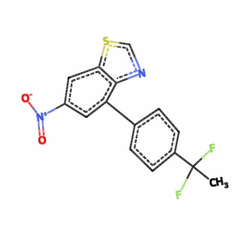 CC(F)(F)c1ccc(-c2cc([N+](=O)[O-])cc3scnc23)cc1